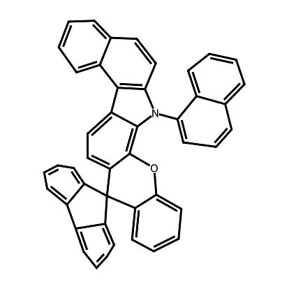 c1ccc2c(c1)Oc1c(ccc3c4c5ccccc5ccc4n(-c4cccc5ccccc45)c13)C21c2ccccc2-c2ccccc21